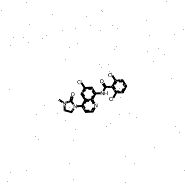 CN1CCN(c2ccnc3c(NC(=O)c4c(Cl)cccc4Cl)cc(Cl)cc23)C1=O